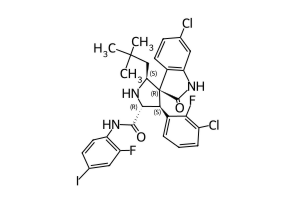 CC(C)(C)C[C@@H]1N[C@@H](C(=O)Nc2ccc(I)cc2F)[C@H](c2cccc(Cl)c2F)[C@]12C(=O)Nc1cc(Cl)ccc12